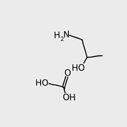 CC(O)CN.O=C(O)O